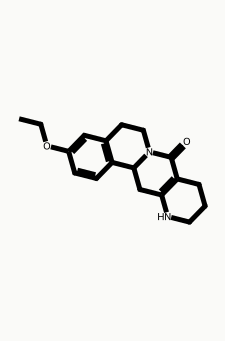 CCOc1ccc2c(c1)CCN1C(=O)C3=C(CC21)NCCC3